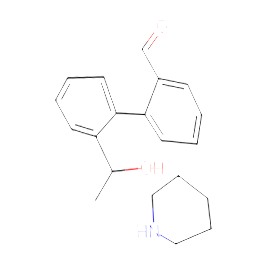 C1CCNCC1.CC(O)c1ccccc1-c1ccccc1C=O